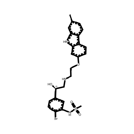 Cc1ccc2c(c1)[nH]c1cc(OCCNC[C@H](O)c3ccc(Br)c(NS(C)(=O)=O)c3)ccc12